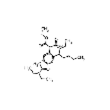 CCCCC(CCC)c1ccccc1C(C(=O)O)C(=O)OCC.CCN(CC)C(C)=O